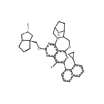 Fc1c(-c2cccc3cccc(C4CC4)c23)nc2c3c(nc(OC[C@@]45CCCN4C[C@H](F)C5)nc13)N1CC3CCC(N3)C1CO2